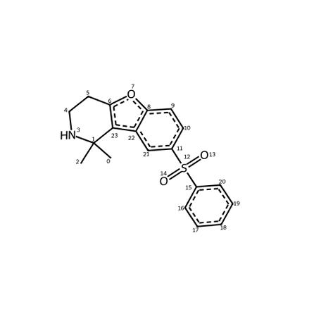 CC1(C)NCCc2oc3ccc(S(=O)(=O)c4ccccc4)cc3c21